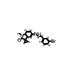 CN1C(=O)C2(CC2)c2cc(NSCc3cccc(Br)c3)ccc21